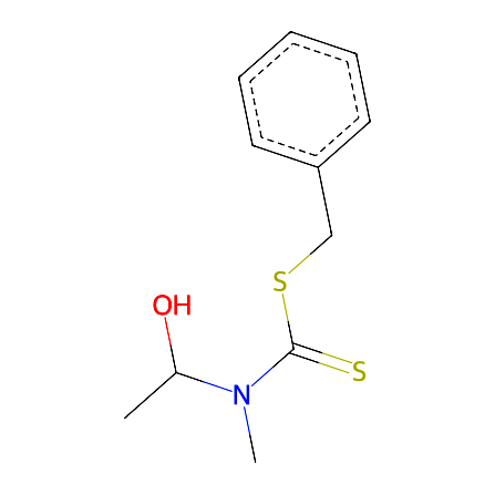 CC(O)N(C)C(=S)SCc1ccccc1